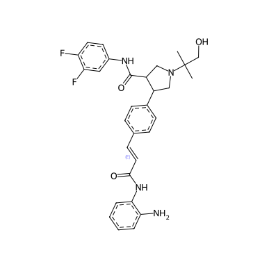 CC(C)(CO)N1CC(C(=O)Nc2ccc(F)c(F)c2)C(c2ccc(/C=C/C(=O)Nc3ccccc3N)cc2)C1